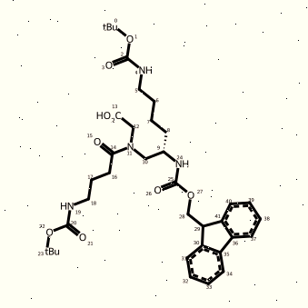 CC(C)(C)OC(=O)NCCCC[C@@H](CN(CC(=O)O)C(=O)CCCNC(=O)OC(C)(C)C)NC(=O)OCC1c2ccccc2-c2ccccc21